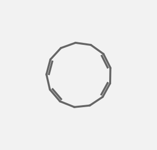 C1=CCCC=CC=CCCCC=C1